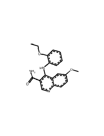 CCOc1ccccc1Nc1c(C(N)=O)cnc2ccc(OC)cc12